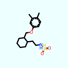 Cc1ccc(OCC2CCCCC2CCN[SH](=O)=O)cc1C